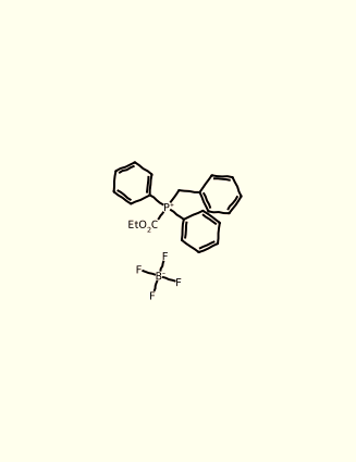 CCOC(=O)[P+](Cc1ccccc1)(c1ccccc1)c1ccccc1.F[B-](F)(F)F